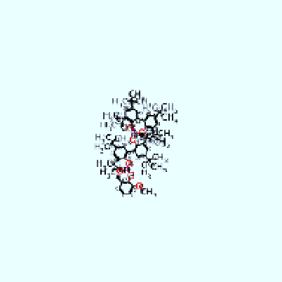 COc1cccc2c1OP(Oc1c(-c3cc(C(C)(C)C)cc([Si](C)(C)C)c3Op3oc4c([Si](C)(C)C)cc(C(C)(C)C)cc4c4cc(C(C)(C)C)cc([Si](C)(C)C)c4o3)cc(C(C)(C)C)cc1[Si](C)(C)C)OC2